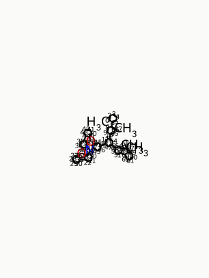 Cc1ccccc1-c1ccc(-c2cc(-c3ccc(N(c4cccc5c4oc4ccccc45)c4cccc5c4oc4ccccc45)cc3)cc(-c3ccc4c(c3)C(C)(C)c3ccccc3-4)c2)cc1C